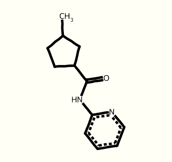 CC1CCC(C(=O)Nc2ccccn2)C1